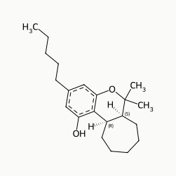 CCCCCc1cc(O)c2c(c1)OC(C)(C)[C@H]1CCCCC[C@@H]21